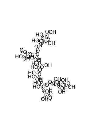 CCOC1OC(CO)C(COCC2OC(COC(=O)CN(CCN(CCN(CC(=O)O)CC(=O)O)CC(O)O)CC(=O)O)C(COCC3OC(COC4OC(CO)C(COCC5OC(COC(=O)CN(CCN(CCN(CC(=O)O)CC(=O)O)CC(=O)O)CC(=O)O)C(COCC6OC(COC)C(O)[C@@H](O)[C@@H]6O)[C@@H](O)[C@@H]5O)[C@@H](O)[C@@H]4O)C(O)[C@@H](O)[C@@H]3O)[C@@H](O)[C@@H]2O)[C@@H](O)[C@@H]1O